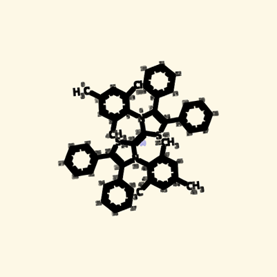 Cc1cc(C)c(N2C(c3ccccc3)=C(c3ccccc3)S/C2=C2/SC(c3ccccc3)=C(c3ccccc3)N2c2c(C)cc(C)cc2C)c(C)c1